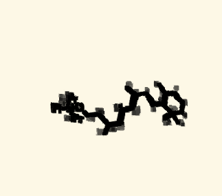 CC(C=CC1=C(C)CCCC1(C)C)=CC=CC(C)CCO[Si](C(C)C)(C(C)C)C(C)C